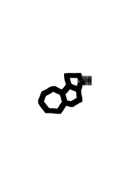 C1CCC2CCC3NCCC3C2CC1